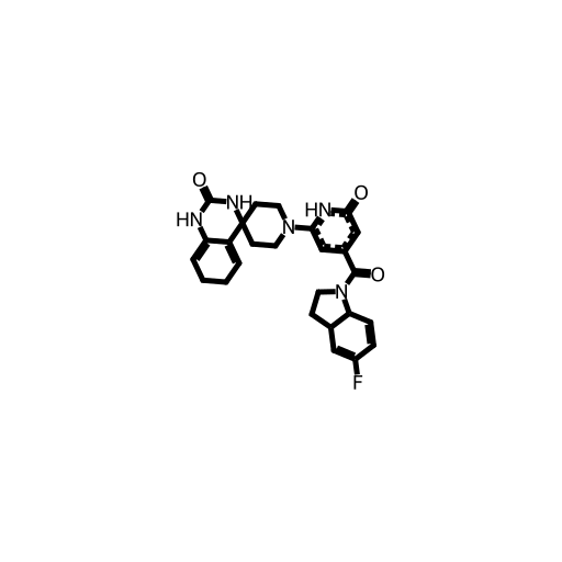 O=C1NC2=CCCC=C2C2(CCN(c3cc(C(=O)N4CCC5C=C(F)C=CC54)cc(=O)[nH]3)CC2)N1